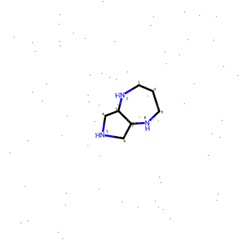 C1CNC2CNCC2NC1